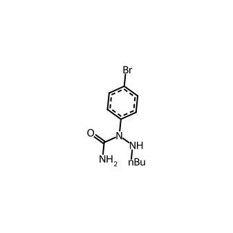 CCCCNN(C(N)=O)c1ccc(Br)cc1